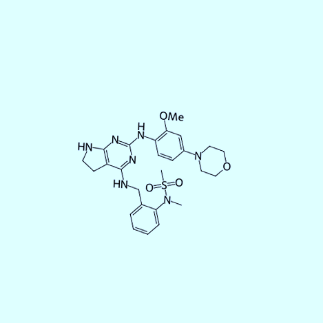 COc1cc(N2CCOCC2)ccc1Nc1nc2c(c(NCc3ccccc3N(C)S(C)(=O)=O)n1)CCN2